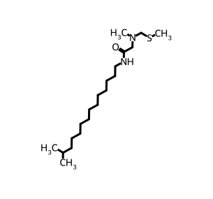 CSCN(C)CC(=O)NCCCCCCCCCCCCC(C)C